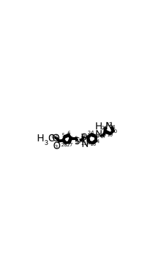 COC(=O)c1ccc(CSc2nc3ccc(NCc4cccnc4)cc3s2)cc1